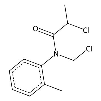 Cc1ccccc1N(CCl)C(=O)C(C)Cl